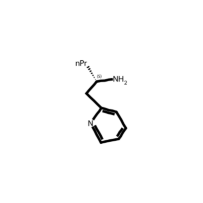 CCC[C@H](N)Cc1ccccn1